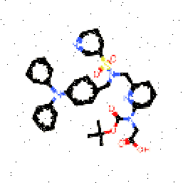 CC(C)(C)OC(=O)N(CC(=O)O)c1cccc(CN(Cc2ccc(N(c3ccccc3)c3ccccc3)cc2)S(=O)(=O)c2cccnc2)n1